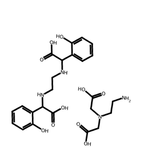 NCCN(CC(=O)O)CC(=O)O.O=C(O)C(NCCNC(C(=O)O)c1ccccc1O)c1ccccc1O